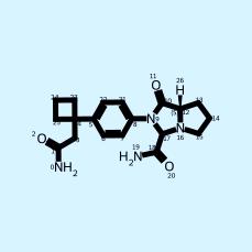 NC(=O)CC1(c2ccc(N3C(=O)[C@@H]4[CH]CCN4C3C(N)=O)cc2)CCC1